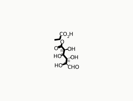 CC(OC(=O)[C@@H](O)[C@H](O)[C@H](O)[C@@H](O)C=O)C(=O)O